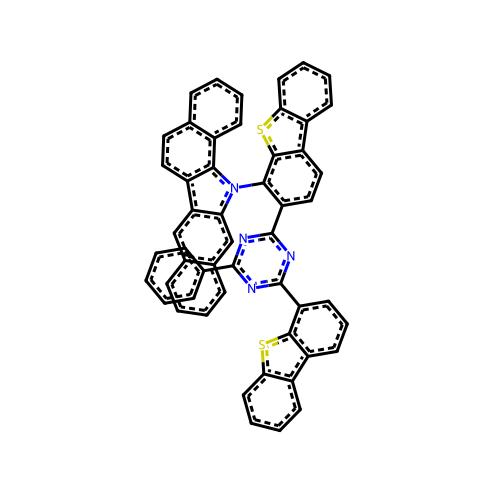 c1ccc(-c2nc(-c3ccc4c(sc5ccccc54)c3-n3c4cc5ccccc5cc4c4ccc5ccccc5c43)nc(-c3cccc4c3sc3ccccc34)n2)cc1